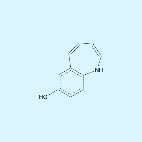 Oc1ccc2c(c1)C=CC=CN2